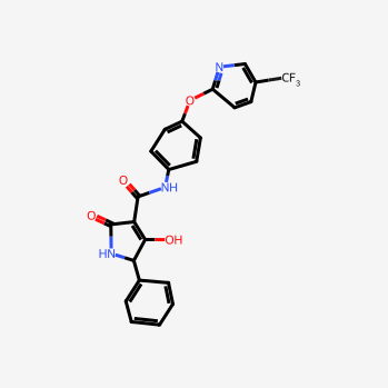 O=C(Nc1ccc(Oc2ccc(C(F)(F)F)cn2)cc1)C1=C(O)C(c2ccccc2)NC1=O